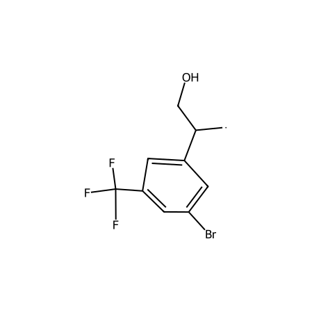 [CH2]C(CO)c1cc(Br)cc(C(F)(F)F)c1